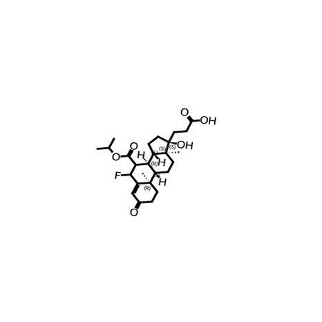 CC(C)OC(=O)C1C(F)C2=CC(=O)CC[C@]2(C)[C@H]2CC[C@@]3(C)[C@@H](CC[C@]3(O)CCC(=O)O)[C@H]12